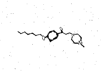 CCCCCCCOc1ccc(C(=O)CCN2CCN(C)CC2)cc1